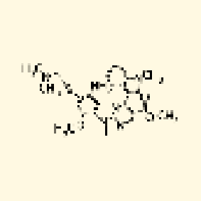 COC(=O)c1cnc(Nc2cc(N)c(C#CCN(C)C)cc2OC)nc1-c1cn(C)c2ccccc12